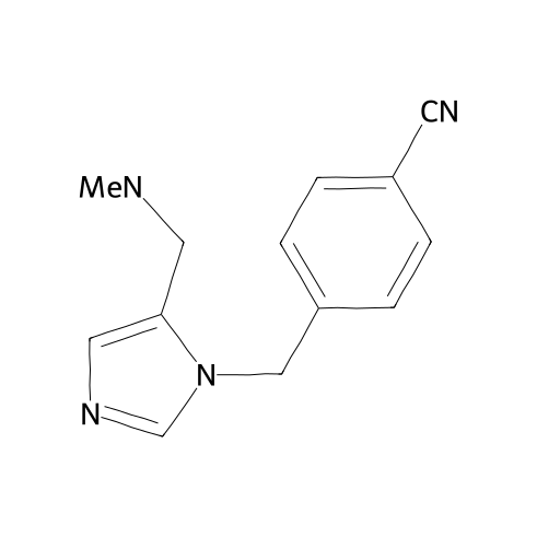 CNCc1cncn1Cc1ccc(C#N)cc1